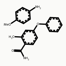 COc1ccc(N)cc1.Cc1cc(Oc2ccccc2)ccc1C(N)=O